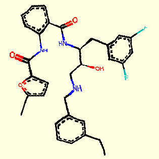 CCc1cccc(CNC[C@H](O)[C@H](Cc2cc(F)cc(F)c2)NC(=O)c2ccccc2NC(=O)c2ccc(C)o2)c1